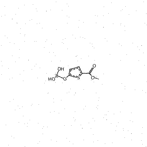 COC(=O)c1ccc(OB(O)O)s1